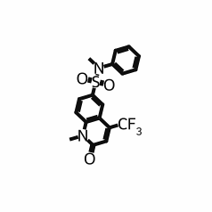 CN(c1ccccc1)S(=O)(=O)c1ccc2c(c1)c(C(F)(F)F)cc(=O)n2C